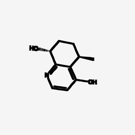 C[C@@H]1CC[C@@H](O)c2nccc(O)c21